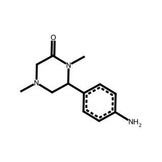 CN1CC(=O)N(C)C(c2ccc(N)cc2)C1